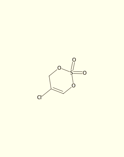 O=S1(=O)OC=C(Cl)CO1